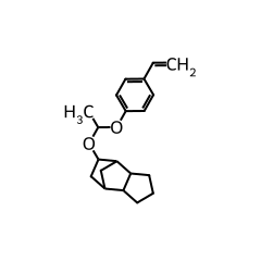 C=Cc1ccc(OC(C)OC2CC3CC2C2CCCC32)cc1